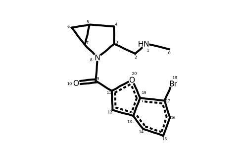 CNCC1CC2CC2N1C(=O)c1cc2cccc(Br)c2o1